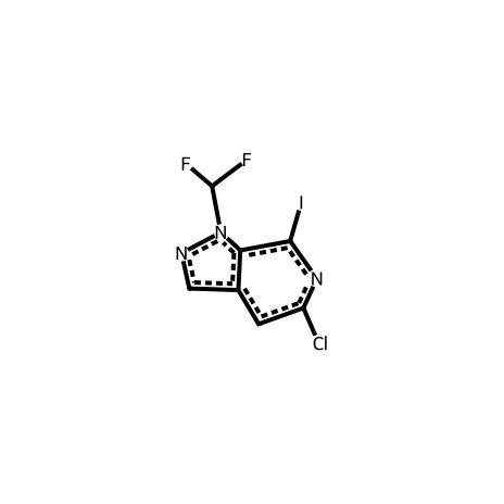 FC(F)n1ncc2cc(Cl)nc(I)c21